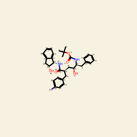 CC(C)(C)OC(=O)N[C@@H](Cc1ccccc1)[C@@H](O)C[C@@H](Cc1ccc(I)cc1)C(=O)N[C@H]1c2ccccc2C[C@H]1O